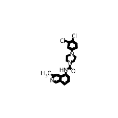 Cc1cc2c(NC(=O)N3CCN(c4ccc(Cl)c(Cl)c4)CC3)cccc2cn1